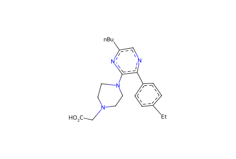 CCCCc1cnc(-c2ccc(CC)cc2)c(N2CCN(CC(=O)O)CC2)n1